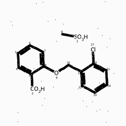 CS(=O)(=O)O.O=C(O)c1ccccc1OCc1ccccc1Cl